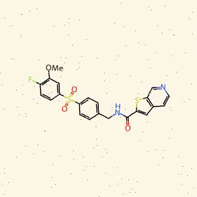 COc1cc(S(=O)(=O)c2ccc(CNC(=O)c3cc4ccncc4s3)cc2)ccc1F